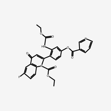 CCOC(=O)Nc1cc(OC(=O)c2cccnc2)ccc1-c1cc(=O)c2cc(F)ccc2n1C(=O)OCC